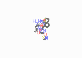 C[C@H](Oc1cc(Oc2nccs2)nc(-c2onc3c2CCC[C@@]32CCCc3sc(N)c(C#N)c32)n1)[C@@H]1CCCN1C